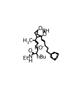 CCCCC(CCC=C(C)C1CC2CC1(/C=C/[C@@H](O)CCc1ccccc1)OBO2)C(=O)NCC